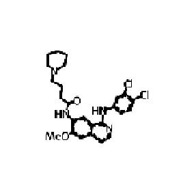 COc1cc2ccnc(Nc3ccc(Cl)c(Cl)c3)c2cc1NC(=O)CCCN1CCCCC1